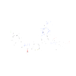 CC(C)(CO)NC(=O)c1cc(-c2csc(C(=O)NCc3ccc(F)cc3)c2)cn2nc(N)nc12